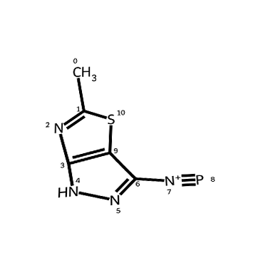 Cc1nc2[nH]nc([N+]#P)c2s1